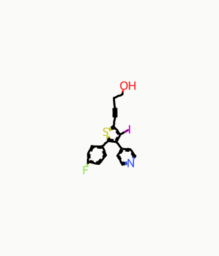 OCCC#Cc1sc(-c2ccc(F)cc2)c(-c2ccncc2)c1I